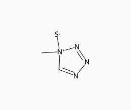 C[N+]1([S])C=NN=N1